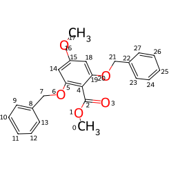 COC(=O)c1c(OCc2ccccc2)cc(OC)cc1OCc1ccccc1